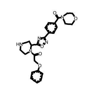 O=C(c1ccc(-c2noc(C3CNCCN3C(=O)COc3ccccc3)n2)cc1)N1CCOCC1